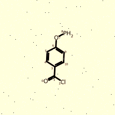 O=C(Cl)c1ccc(OP)cc1